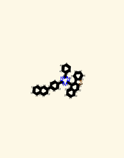 c1ccc(-c2nc(-c3ccc(-c4ccc5ccccc5c4)cc3)nc(-c3c4ccccc4cc4sc5ccccc5c34)n2)cc1